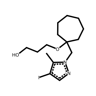 Cc1c(I)cnn1CC1(OCCCO)CCCCCC1